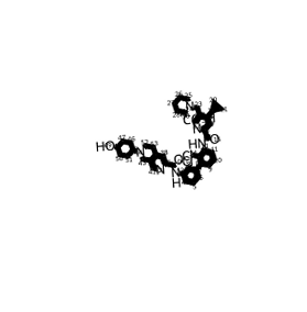 O=C(Nc1cccc(-c2cccc(NC(=O)c3cc(C4CC4)c(CN4CCCC[C@H]4C(=O)O)cn3)c2Cl)c1Cl)c1cc2c(cn1)CN(C1CCC(O)CC1)CC2